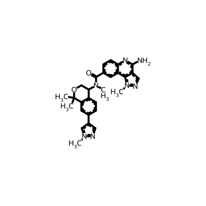 CN(C(=O)c1ccc2nc(N)c3cnn(C)c3c2c1)C1COC(C)(C)c2cc(-c3cnn(C)c3)ccc21